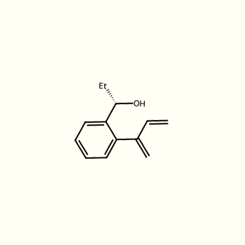 C=CC(=C)c1ccccc1[C@@H](O)CC